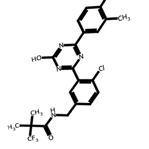 Cc1cc(-c2nc(O)nc(-c3cc(CNC(=O)C(C)(C)C(F)(F)F)ccc3Cl)n2)ccc1F